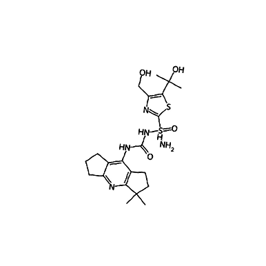 CC(C)(O)c1sc([SH](N)(=O)NC(=O)Nc2c3c(nc4c2CCC4(C)C)CCC3)nc1CO